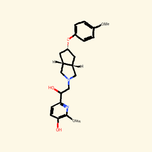 COc1ccc(O[C@@H]2C[C@@H]3CN(CC(O)c4ccc(O)c(OC)n4)C[C@@H]3C2)cc1